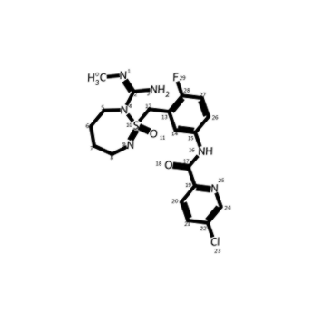 C/N=C(/N)N1CCCCN=S1(=O)Cc1cc(NC(=O)c2ccc(Cl)cn2)ccc1F